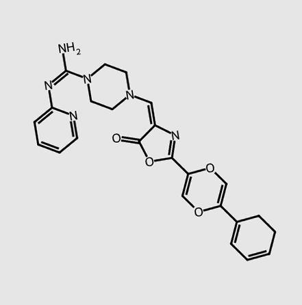 NC(=Nc1ccccn1)N1CCN(C=C2N=C(C3=COC(C4=CC=CCC4)=CO3)OC2=O)CC1